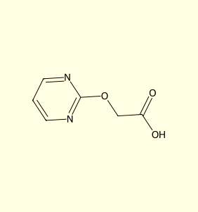 O=C(O)COc1ncccn1